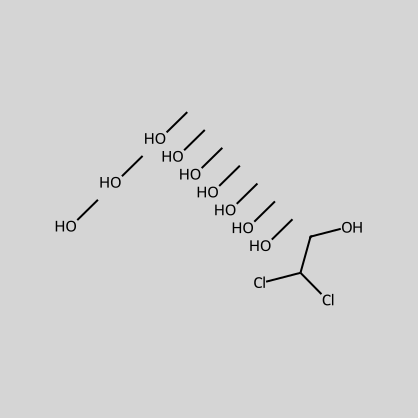 CO.CO.CO.CO.CO.CO.CO.CO.CO.OCC(Cl)Cl